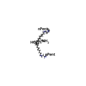 CCCCC/C=C\C/C=C\CCCCCCCCC(O)(CCCCCCCC/C=C\C/C=C\CCCCC)OCCCN